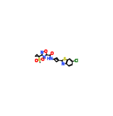 CS(=O)(=O)C1(c2noc(C(=O)NC34CC(c5nc6ccc(Cl)cc6s5)(C3)C4)n2)CC1